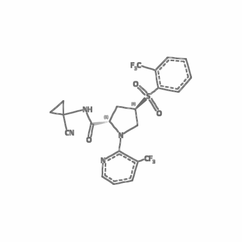 N#CC1(NC(=O)[C@@H]2C[C@@H](S(=O)(=O)c3ccccc3C(F)(F)F)CN2c2ncccc2C(F)(F)F)CC1